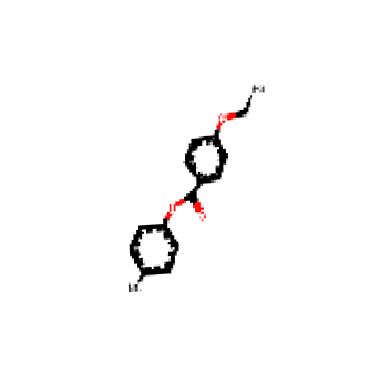 CC[C@H](C)COc1ccc(C(=O)Oc2ccc(C#N)cc2)cc1